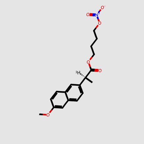 [2H][C@@](C)(C(=O)OCCCCO[N+](=O)[O-])c1ccc2cc(OC)ccc2c1